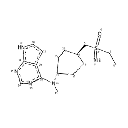 CCS(=N)(=O)C[C@H]1CC[C@H](N(C)c2ncnc3[nH]ccc23)CC1